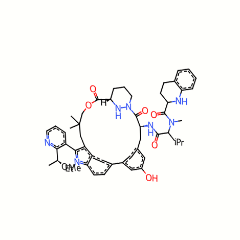 CCn1c(-c2cccnc2[C@H](C)OC)c2c3cc(ccc31)-c1cc(O)cc(c1)C[C@H](NC(=O)C(C(C)C)N(C)C(=O)C1CCc3ccccc3N1)C(=O)N1CCC[C@H](N1)C(=O)OCC(C)(C)C2